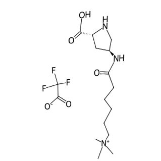 C[N+](C)(C)CCCCCC(=O)N[C@@H]1CN[C@@H](C(=O)O)C1.O=C([O-])C(F)(F)F